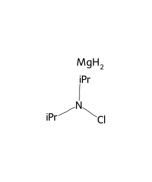 CC(C)N(Cl)C(C)C.[MgH2]